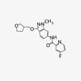 Cn1nc(OCC2CCOC2)c2ccc(NC(=O)c3cc(F)ccn3)cc21